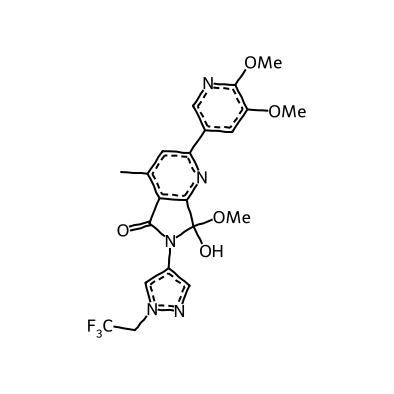 COc1cc(-c2cc(C)c3c(n2)C(O)(OC)N(c2cnn(CC(F)(F)F)c2)C3=O)cnc1OC